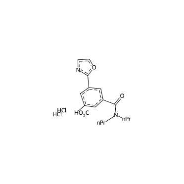 CCCN(CCC)C(=O)c1cc(C(=O)O)cc(-c2ncco2)c1.Cl.Cl